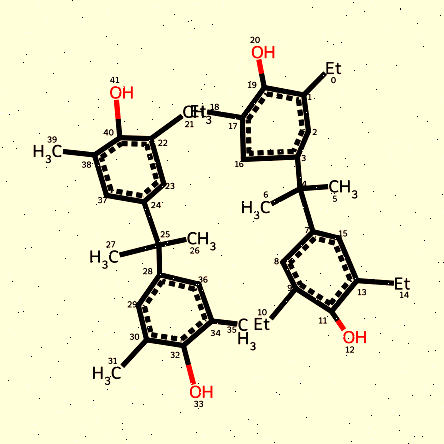 CCc1cc(C(C)(C)c2cc(CC)c(O)c(CC)c2)cc(CC)c1O.Cc1cc(C(C)(C)c2cc(C)c(O)c(C)c2)cc(C)c1O